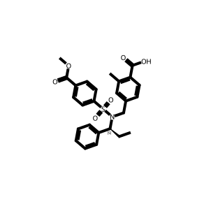 CC[C@@H](c1ccccc1)N(Cc1ccc(C(=O)O)c(C)c1)S(=O)(=O)c1ccc(C(=O)OC)cc1